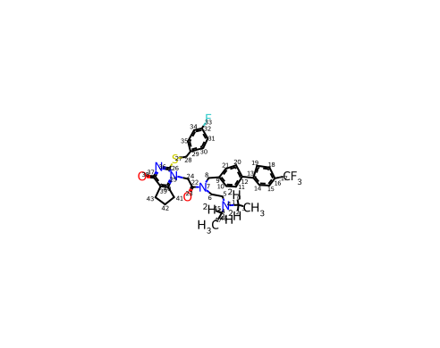 [2H]C([2H])(C)N(CCN(Cc1ccc(-c2ccc(C(F)(F)F)cc2)cc1)C(=O)Cn1c(SCc2ccc(F)cc2)nc(=O)c2c1CCC2)C([2H])([2H])C